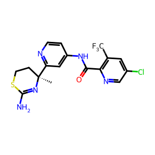 C[C@@]1(c2cc(NC(=O)c3ncc(Cl)cc3C(F)(F)F)ccn2)CCSC(N)=N1